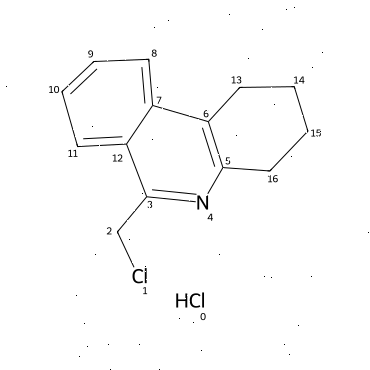 Cl.ClCc1nc2c(c3ccccc13)CCCC2